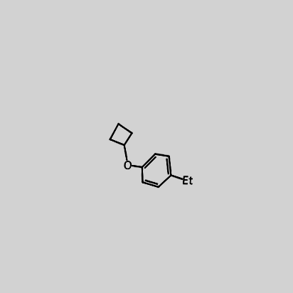 CCc1ccc(OC2CCC2)cc1